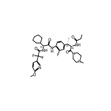 CCC(=O)N[C@@H](C(=O)N1CCN(C)CC1)[C@@H](C)c1ccc(NC(=O)[C@@H](NC(=O)C(F)(F)c2ccc(OC)nc2)C2CCCCC2)c(F)c1